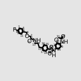 O=C(COCc1ccc(F)cc1)NCCCc1ccc(S(=O)(=O)Nc2ccc3c(c2)OCC(=O)N3)cc1